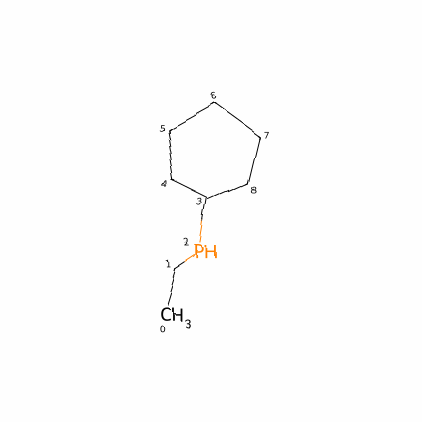 CCPC1CCCCC1